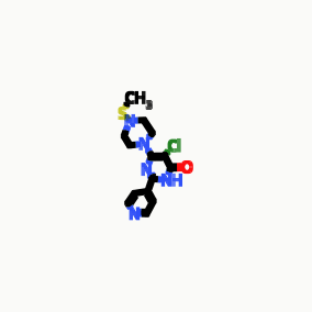 CSN1CCN(c2nc(-c3ccncc3)[nH]c(=O)c2Cl)CC1